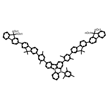 CCCCCCCCC1(CCCCCCCC)c2ccccc2-c2ccc(-c3ccc4c(c3)C(C)(C)c3cc(-c5cc(C)c(-c6ccc7c(c6)c6cc(-c8cc(C)c(-c9ccc%10c(c9)C(C)(C)c9cc(-c%11ccc%12c(c%11)C(CCCCCCCC)(CCCCCCCC)c%11ccccc%11-%12)ccc9-%10)cc8C)cc8c6n7-c6ccccc6B8c6c(C)cc(C)cc6C)cc5C)ccc3-4)cc21